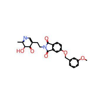 COc1cccc(COc2ccc3c(c2)C(=O)N(CCC2=CN=C(C)C(O)C2=O)C3=O)c1